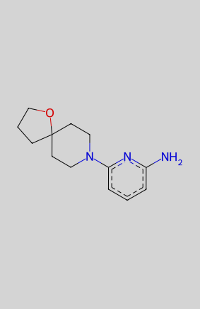 Nc1cccc(N2CCC3(CCCO3)CC2)n1